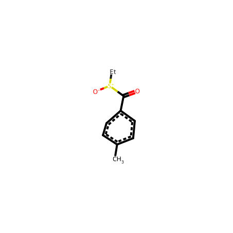 CC[S+]([O-])C(=O)c1ccc(C)cc1